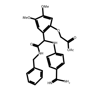 COc1cc(OCC(=O)OC(C)=O)c(C(Nc2ccc(C(=N)N)cc2)C(=O)NCc2ccccc2)cc1OC